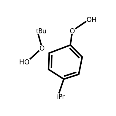 CC(C)(C)OO.CC(C)c1ccc(OO)cc1